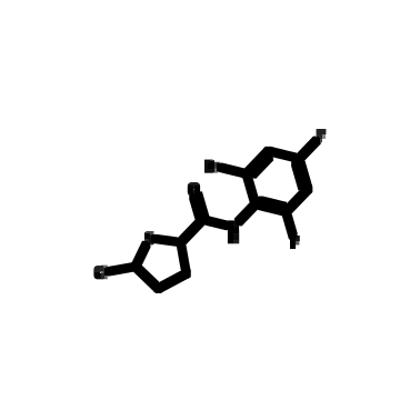 O=C(Nc1c(F)cc(F)cc1Br)C1CCC(Cl)S1